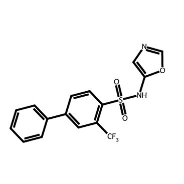 O=S(=O)(Nc1cnco1)c1ccc(-c2ccccc2)cc1C(F)(F)F